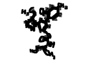 CCc1nnnn1-c1cc(OC(=O)N[C@@H](C)CO)cc(-c2ccc(C)cc2Cl)c1